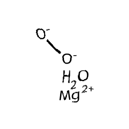 O.[Mg+2].[O-][O-]